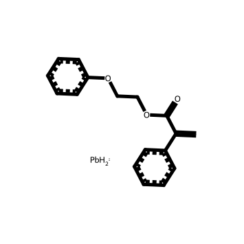 C=C(C(=O)OCCOc1ccccc1)c1ccccc1.[PbH2]